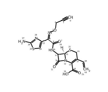 C#CCO/N=C(\C(=O)NC1C(=O)N2C(C(=O)O)=C(C=C)CS[C@H]12)c1csc(N)n1